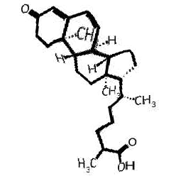 CC(CCC[C@@H](C)[C@H]1CC[C@H]2[C@@H]3C=CC4=CC(=O)CC[C@]4(C)[C@H]3CC[C@]12C)C(=O)O